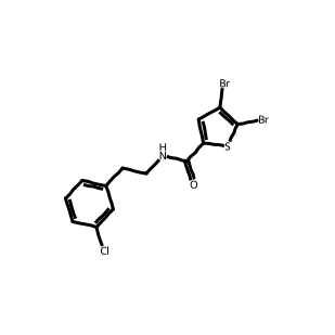 O=C(NCCc1cccc(Cl)c1)c1cc(Br)c(Br)s1